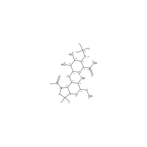 CC(=O)N1CC(C)(C)C2OC(CO)C(O)C(OC3OC(C(=O)O)C(OC(C)(C)C)C(O)C3O)C21